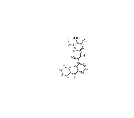 O=C(Nc1cc(Cl)c(O)c(CI)c1)c1cc(NC2CCCCC2)ncn1